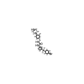 Cc1cc(CNC(=O)Nc2nc(C(C)(C)c3ccc(Br)cc3)cs2)ccc1N1CCNCC1